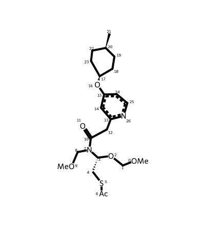 COCO[C@H](CSC(C)=O)N(COC)C(=O)Cc1cc(O[C@H]2CC[C@H](C)CC2)ccn1